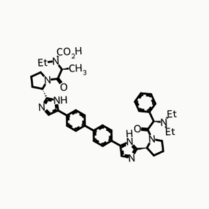 CCN(CC)[C@@H](C(=O)N1CCC[C@H]1c1ncc(-c2ccc(-c3ccc(-c4cnc([C@@H]5CCCN5C(=O)[C@H](C)N(CC)C(=O)O)[nH]4)cc3)cc2)[nH]1)c1ccccc1